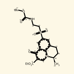 CCOC(=O)c1cn2c3c(cc(S(=O)(=O)CCNC(=O)OC(C)(C)C)cc3c1=O)CC[C@H]2C